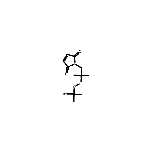 CC(C)C(C)(C)OOC(C)(C)CN1C(=O)C=CC1=O